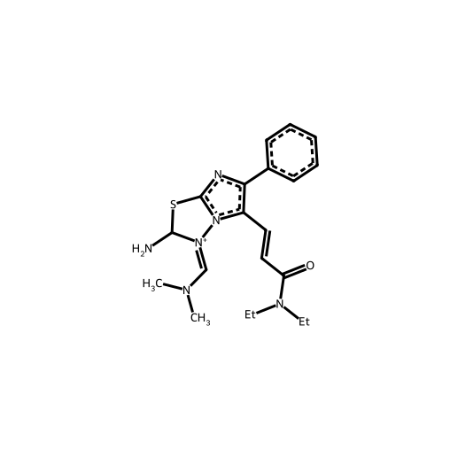 CCN(CC)C(=O)C=Cc1c(-c2ccccc2)nc2n1[N+](=CN(C)C)C(N)S2